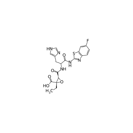 CC[C@]1(C(=O)O)O[C@@H]1C(=O)NC(Cc1c[nH]cn1)C(=O)Nc1nc2ccc(F)cc2s1